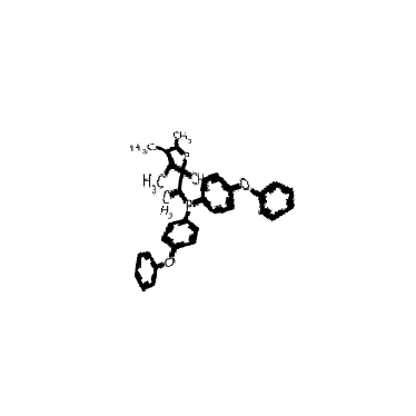 CC1=PC(C)(C(C)P(c2ccc(Oc3ccccc3)cc2)c2ccc(Oc3ccccc3)cc2)C(C)=C1C